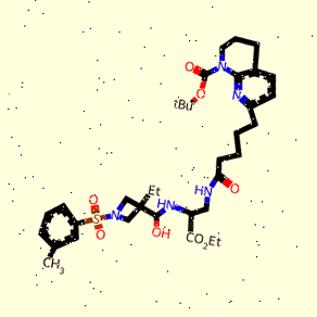 CCOC(=O)C(CNC(=O)CCCCc1ccc2c(n1)N(C(=O)OC(C)(C)C)CCC2)NC(O)C1(CC)CN(S(=O)(=O)c2cccc(C)c2)C1